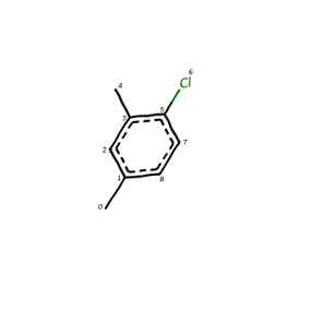 Cc1[c]c(C)c(Cl)cc1